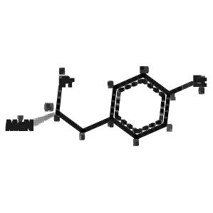 CCc1ccc(C[C@H](NC)C(C)C)cc1